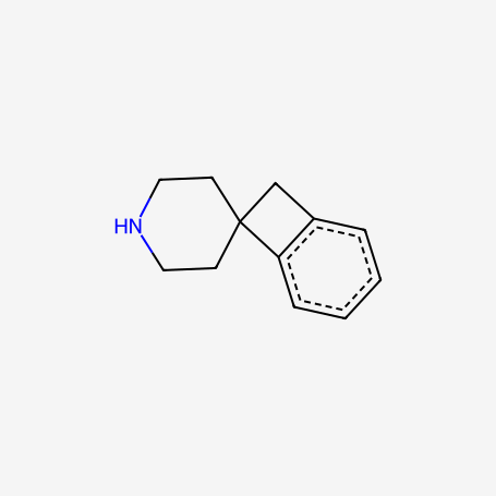 c1ccc2c(c1)CC21CCNCC1